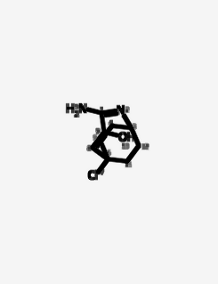 NC1=N/C2CCC(Cl)(\C=C\1O)CC2